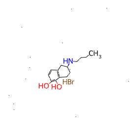 Br.CCCCN[C@H]1CCc2c(ccc(O)c2O)C1